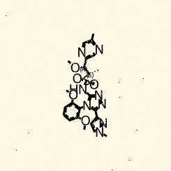 COc1cccc(OC)c1-n1c(NS(=O)(=O)[C@@H](C)[C@H](OC)c2cnc(C)cn2)nnc1-c1ccn(C)n1